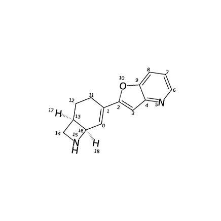 C1=C(c2cc3ncccc3o2)CC[C@@H]2CN[C@H]12